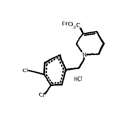 CCOC(=O)C1=CCCN(Cc2ccc(Cl)c(Cl)c2)C1.Cl